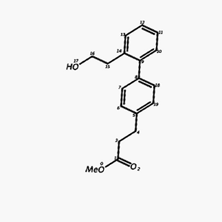 COC(=O)CCc1ccc(-c2ccccc2CCO)cc1